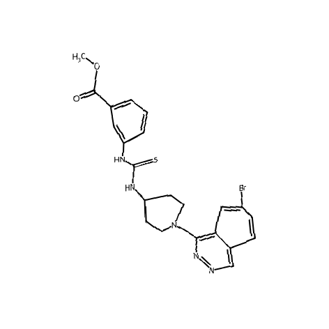 COC(=O)c1cccc(NC(=S)NC2CCN(c3nncc4ccc(Br)cc34)CC2)c1